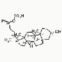 CC(C)[C@H](CC[C@@H](C)[C@H]1CC[C@H]2[C@@H]3CC=C4C[C@@H](O)CC[C@]4(C)[C@H]3CC[C@]12C)OS(=O)(=O)O